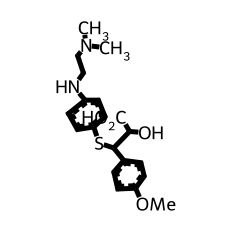 COc1ccc(C(Sc2ccc(NCCN(C)C)cc2)C(O)C(=O)O)cc1